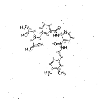 Cc1ccc(/C=N/NC(=O)c2cccnc2NC(=O)c2cccc(CN(CC(C)O)CC(C)O)c2)cc1C